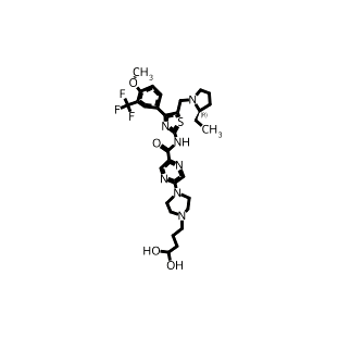 CC[C@@H]1CCCN1Cc1sc(NC(=O)c2cnc(N3CCN(CCCC(O)O)CC3)cn2)nc1-c1ccc(OC)c(C(F)(F)F)c1